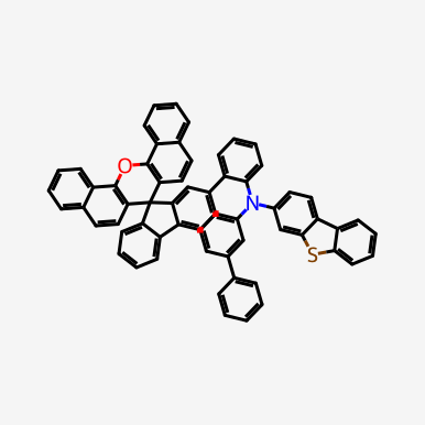 c1ccc(-c2cccc(N(c3ccc4c(c3)sc3ccccc34)c3ccccc3-c3ccc4c(c3)C3(c5ccccc5-4)c4ccc5ccccc5c4Oc4c3ccc3ccccc43)c2)cc1